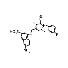 C[C@@H]1C(=C=O)N(Cc2ccc(F)cc2)[C@@H](C)CN1COc1cc(S(=O)(=O)O)cc2cc(N)ccc12